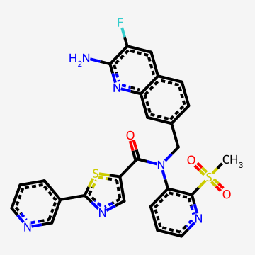 CS(=O)(=O)c1ncccc1N(Cc1ccc2cc(F)c(N)nc2c1)C(=O)c1cnc(-c2cccnc2)s1